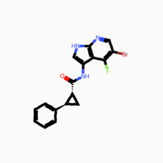 O=C(Nc1c[nH]c2ncc(Br)c(F)c12)[C@@H]1C[C@H]1c1ccccc1